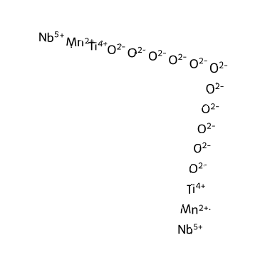 [Mn+2].[Mn+2].[Nb+5].[Nb+5].[O-2].[O-2].[O-2].[O-2].[O-2].[O-2].[O-2].[O-2].[O-2].[O-2].[O-2].[Ti+4].[Ti+4]